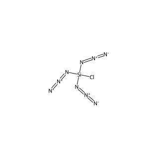 [N-]=[N+]=N[Si](Cl)(N=[N+]=[N-])N=[N+]=[N-]